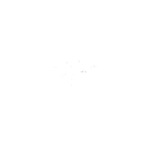 CCCCCCCCCCCCC(S)C(=O)[O-].CCCCCCCCCCCCC(S)C(=O)[O-].CCC[CH2][Sn+2][CH2]CCC